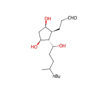 CCCCC(C)CCC(O)[C@H]1[C@H](CCC=O)[C@H](O)C[C@@H]1O